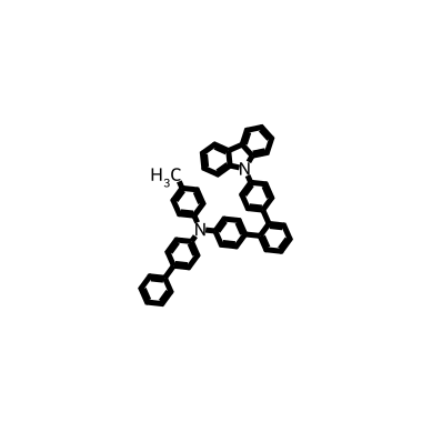 Cc1ccc(N(c2ccc(-c3ccccc3)cc2)c2ccc(-c3ccccc3-c3ccc(-n4c5ccccc5c5ccccc54)cc3)cc2)cc1